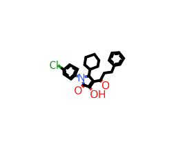 O=C(CCc1ccccc1)C1=C(O)C(=O)N(c2ccc(Cl)cc2)C1C1CCCCC1